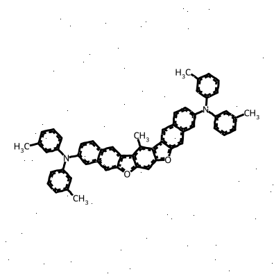 Cc1cccc(N(c2cccc(C)c2)c2ccc3cc4c(cc3c2)oc2cc3oc5cc6cc(N(c7cccc(C)c7)c7cccc(C)c7)ccc6cc5c3c(C)c24)c1